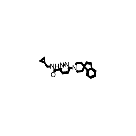 O=C(NCC1CC1)c1ccc(N2CCC3(C=Cc4ccccc43)CC2)nn1